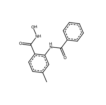 Cc1ccc(C(=O)NO)c(NC(=O)c2ccccc2)c1